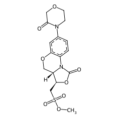 COS(=O)(=O)C[C@@H]1OC(=O)N2c3ccc(N4CCOCC4=O)cc3OC[C@@H]12